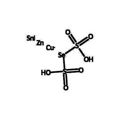 O=S(=O)(O)[Se]S(=O)(=O)O.[Cu].[Sn].[Zn]